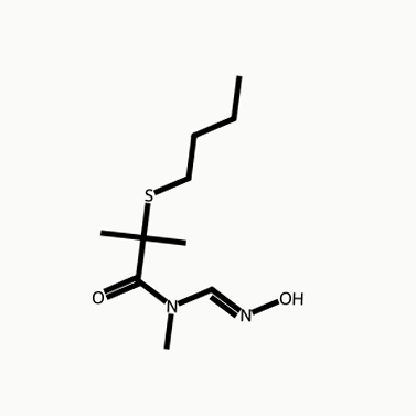 CCCCSC(C)(C)C(=O)N(C)C=NO